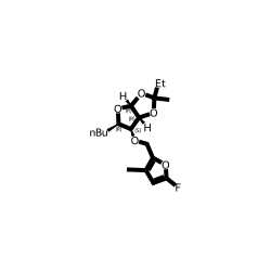 CCCC[C@H]1O[C@@H]2OC(C)(CC)O[C@@H]2[C@H]1OCc1oc(F)cc1C